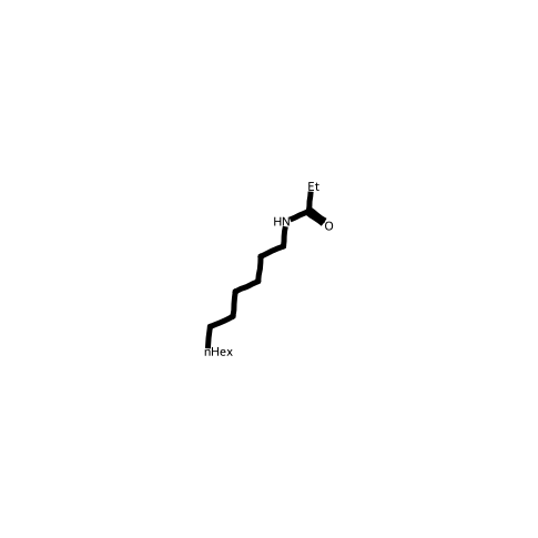 CCCCCCCCCCCCNC(=O)CC